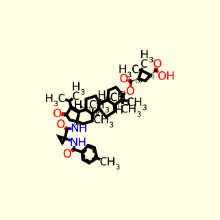 Cc1ccc(C(=O)NC2(C(=O)N[C@@]34CC[C@]5(C)[C@H](CC[C@@H]6[C@@]7(C)CC[C@H](OC(=O)[C@H]8C[C@@H](C(=O)O)C8(C)C)C(C)(C)[C@@H]7CC[C@]65C)C3=C(C(C)C)C(=O)C4)CC2)cc1